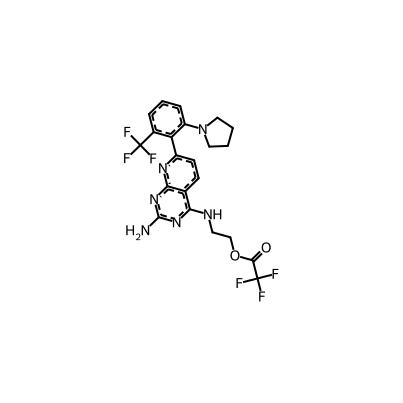 Nc1nc(NCCOC(=O)C(F)(F)F)c2ccc(-c3c(N4CCCC4)cccc3C(F)(F)F)nc2n1